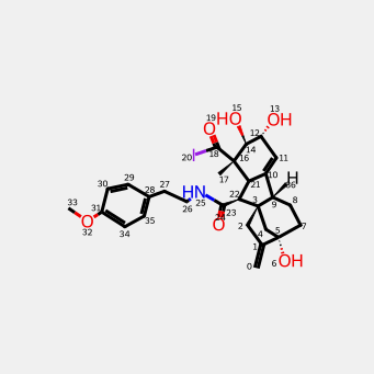 C=C1C[C@]23C[C@@]1(O)CC[C@H]2C1=C[C@@H](O)[C@H](O)[C@@](C)(C(=O)I)C1[C@@H]3C(=O)NCCc1ccc(OC)cc1